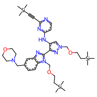 C[Si](C)(C)C#Cc1nccc(Nc2cn(COCC[Si](C)(C)C)nc2-c2nc3cc(CN4CCOCC4)ccc3n2COCC[Si](C)(C)C)n1